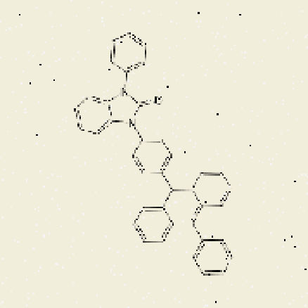 O=c1n(-c2ccccc2)c2ccccc2n1-c1ccc(-c2c3ccccc3c(-c3ccccc3)c3ccccc23)cc1